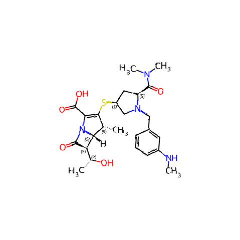 CNc1cccc(CN2C[C@@H](SC3=C(C(=O)O)N4C(=O)[C@H]([C@@H](C)O)[C@H]4[C@H]3C)C[C@H]2C(=O)N(C)C)c1